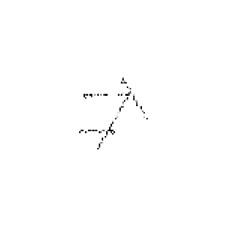 CCCCCCCCCN(CCCN(C)C)C(CCCCCCCCCOC=O)CCCCCCCCCOC(=O)C(CCCCCC)CCCCCCCC